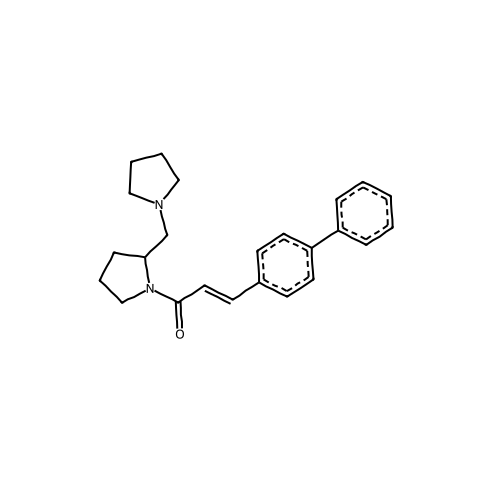 O=C(C=Cc1ccc(-c2ccccc2)cc1)N1CCCC1CN1CCCC1